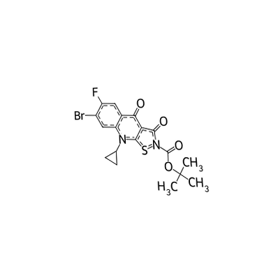 CC(C)(C)OC(=O)n1sc2c(c(=O)c3cc(F)c(Br)cc3n2C2CC2)c1=O